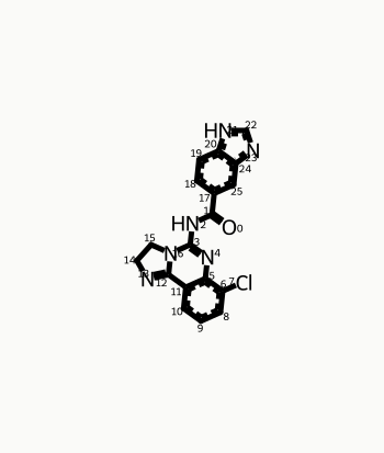 O=C(NC1=Nc2c(Cl)cccc2C2=NCCN12)c1ccc2[nH]cnc2c1